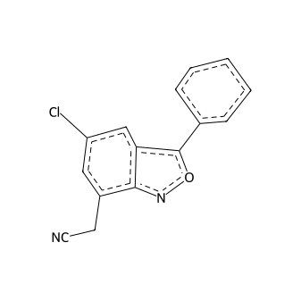 N#CCc1cc(Cl)cc2c(-c3ccccc3)onc12